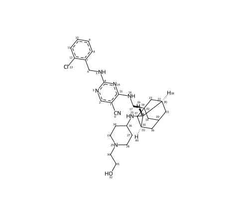 N#Cc1cnc(NCc2ccccc2Cl)nc1NC[C@]12CC3C[C@H](C1)[C@@H](NC1CCN(CCO)CC1)[C@@H](C3)C2